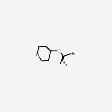 C=C(OC1CCOCC1)C(C)C